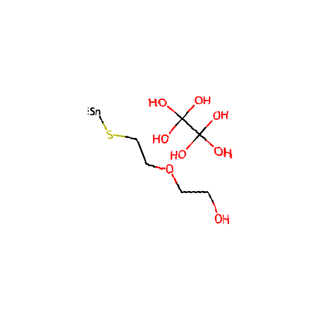 OC(O)(O)C(O)(O)O.OCCOCC[S][Sn]